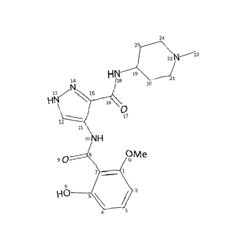 COc1cccc(O)c1C(=O)Nc1c[nH]nc1C(=O)NC1CCN(C)CC1